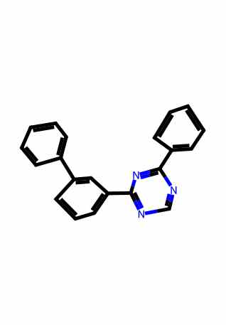 c1ccc(-c2cccc(-c3ncnc(-c4ccccc4)n3)c2)cc1